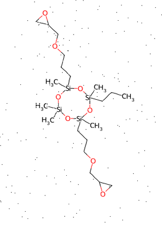 CCC[Si]1(C)O[Si](C)(CCCOCC2CO2)O[Si](C)(C)O[Si](C)(CCCOCC2CO2)O1